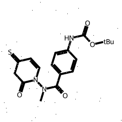 CN(C(=O)c1ccc(NC(=O)OC(C)(C)C)cc1)N1C=CC(=S)CC1=O